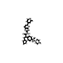 Cc1cc(-c2ccc3nc(NC(=O)C(CC4CCCC4)c4ccc(S(=O)(=O)N5CCN(C)CC5)cc4)sc3n2)ccn1